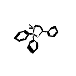 C[Si]1(C)CCC(c2ccccc2)O[Si]1(c1ccccc1)c1ccccc1